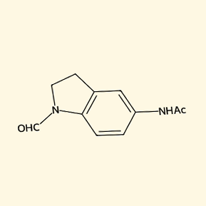 CC(=O)Nc1ccc2c(c1)CCN2C=O